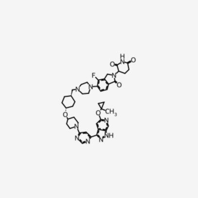 CC1(Oc2cc3c(-c4cc(N5CCC(O[C@H]6CC[C@H](CN7CCN(c8ccc9c(c8F)CN(C8CCC(=O)NC8=O)C9=O)CC7)CC6)CC5)ncn4)n[nH]c3cn2)CC1